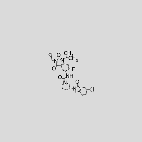 CC(C)n1c(=O)n(CC2CC2)c(=O)c2cc(NC(=O)N3CCCC(N4Cc5ccc(Cl)cc5C4=O)C3)c(F)cc21